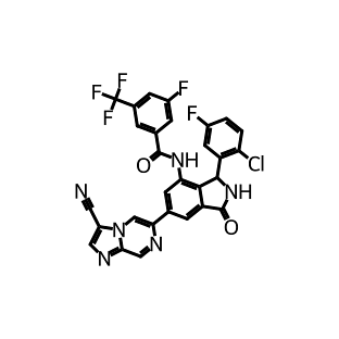 N#Cc1cnc2cnc(-c3cc(NC(=O)c4cc(F)cc(C(F)(F)F)c4)c4c(c3)C(=O)NC4c3cc(F)ccc3Cl)cn12